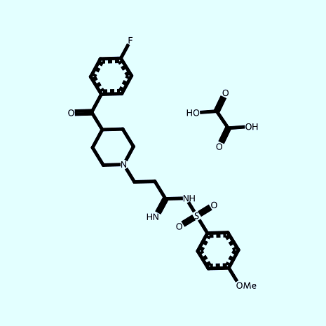 COc1ccc(S(=O)(=O)NC(=N)CCN2CCC(C(=O)c3ccc(F)cc3)CC2)cc1.O=C(O)C(=O)O